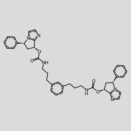 O=C(NCCCc1cccc(CCCNC(=O)O[C@H]2C[C@@H](c3ccccc3)n3ccnc32)c1)O[C@H]1C[C@@H](c2ccccc2)n2ccnc21